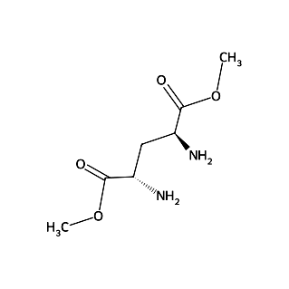 COC(=O)[C@@H](N)C[C@H](N)C(=O)OC